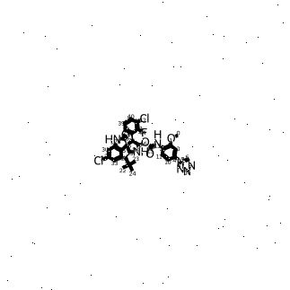 COc1cc(-n2cnnn2)ccc1NC(=O)O[C@H]1N[C@@H](CC(C)(C)C)[C@@]2(C(=O)Nc3cc(Cl)ccc32)[C@H]1c1cccc(Cl)c1F